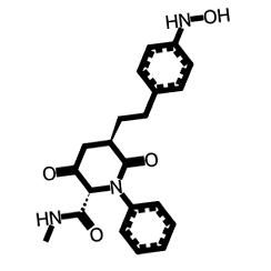 CNC(=O)[C@@H]1C(=O)C[C@@H](CCc2ccc(NO)cc2)C(=O)N1c1ccccc1